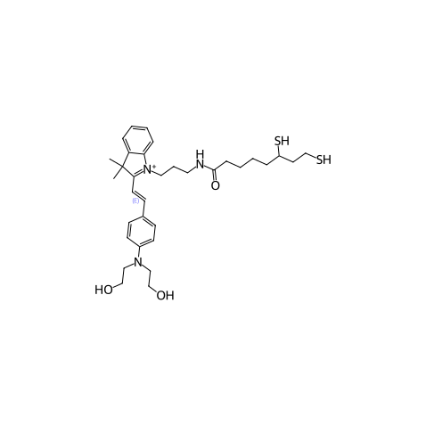 CC1(C)C(/C=C/c2ccc(N(CCO)CCO)cc2)=[N+](CCCNC(=O)CCCCC(S)CCS)c2ccccc21